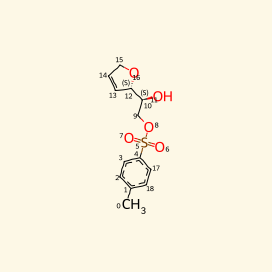 Cc1ccc(S(=O)(=O)OC[C@H](O)[C@@H]2C=CCO2)cc1